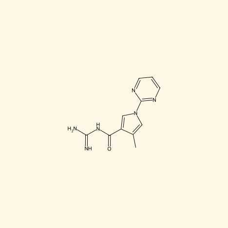 Cc1cn(-c2ncccn2)cc1C(=O)NC(=N)N